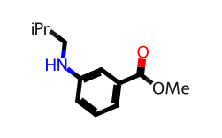 COC(=O)c1cccc(NCC(C)C)c1